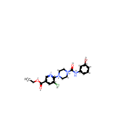 CCOC(=O)c1cnc(N2CCN(C(=O)Nc3cccc(Br)c3)CC2)c(Cl)c1